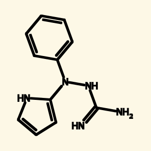 N=C(N)NN(c1ccccc1)c1ccc[nH]1